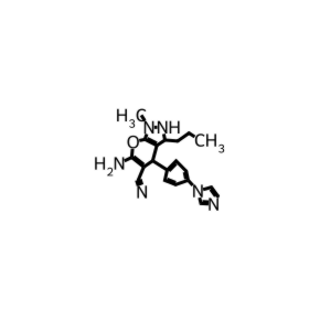 CCCC1NN(C)C2=C1C(c1ccc(-n3ccnc3)cc1)C(C#N)=C(N)O2